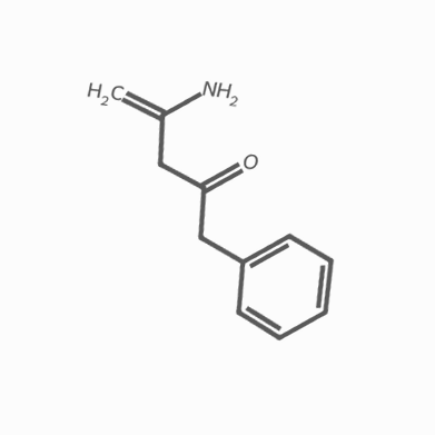 C=C(N)CC(=O)Cc1ccccc1